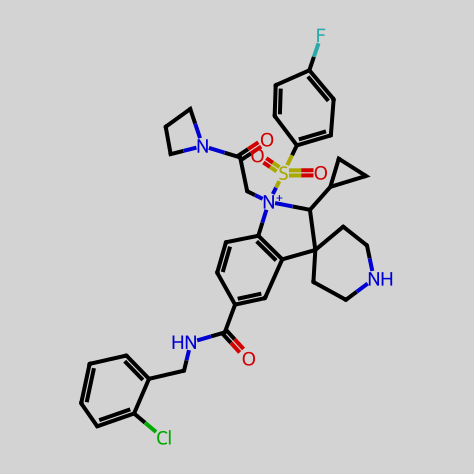 O=C(NCc1ccccc1Cl)c1ccc2c(c1)C1(CCNCC1)C(C1CC1)[N+]2(CC(=O)N1CCC1)S(=O)(=O)c1ccc(F)cc1